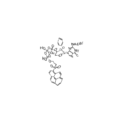 CC(=O)Nc1nc2c(ncn2[C@@H]2OCC(OP(=O)(O)OP(=O)(O)OP(=O)(O)OCCS(=O)(=O)c3ccc4ccc5cccc6ccc3c4c56)[C@@H]2Oc2ccccc2)c(=O)[nH]1